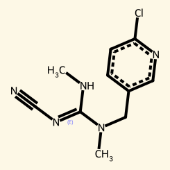 CN/C(=N\C#N)N(C)Cc1ccc(Cl)nc1